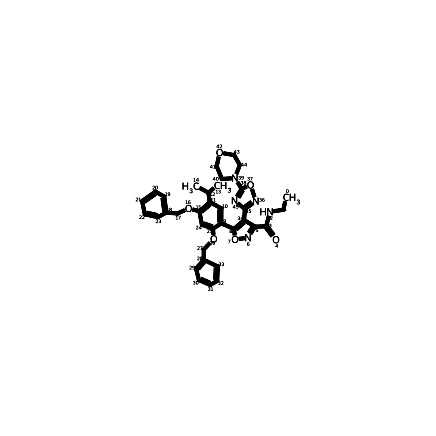 CCNC(=O)c1noc(-c2cc(C(C)C)c(OCc3ccccc3)cc2OCc2ccccc2)c1-c1noc(N2CCOCC2)n1